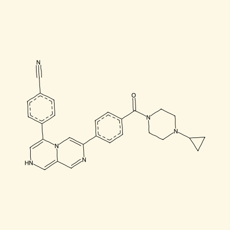 N#Cc1ccc(C2=CNC=C3C=NC(c4ccc(C(=O)N5CCN(C6CC6)CC5)cc4)=CN32)cc1